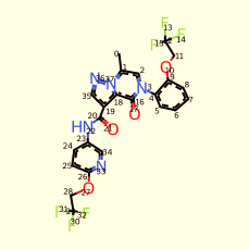 Cc1cn(-c2ccccc2OCC(F)(F)F)c(=O)c2c(C(=O)Nc3ccc(OCC(F)(F)F)nc3)cnn12